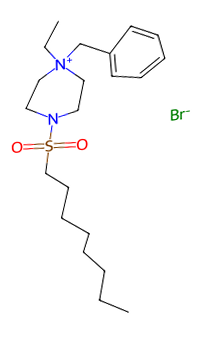 CCCCCCCCS(=O)(=O)N1CC[N+](CC)(Cc2ccccc2)CC1.[Br-]